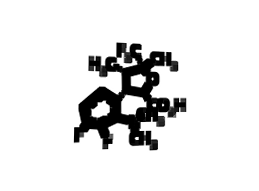 C[C@H]1[C@@H](c2ccc(F)c(F)c2N(C)C)[C@H](C(=O)O)O[C@@]1(C)C(F)(F)F